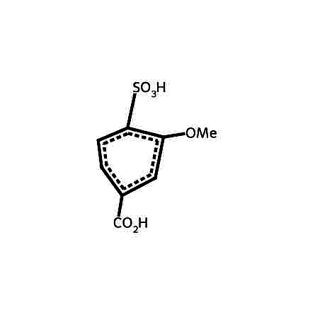 COc1cc(C(=O)O)ccc1S(=O)(=O)O